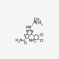 CN(C)CCNc1nc(-c2ccc(Cl)c(Cl)c2)c2c(N)c(C(N)=O)sc2n1